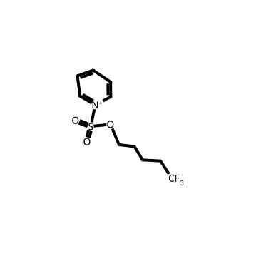 O=S(=O)(OCCCCC(F)(F)F)[n+]1ccccc1